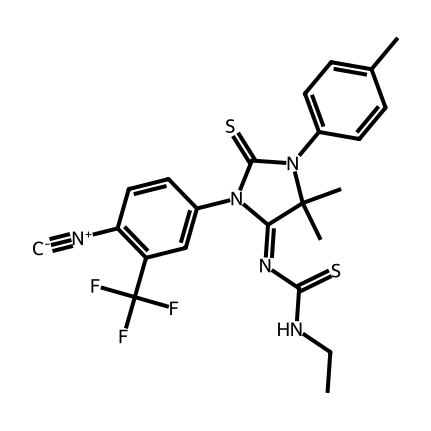 [C-]#[N+]c1ccc(N2C(=S)N(c3ccc(C)cc3)C(C)(C)C2=NC(=S)NCC)cc1C(F)(F)F